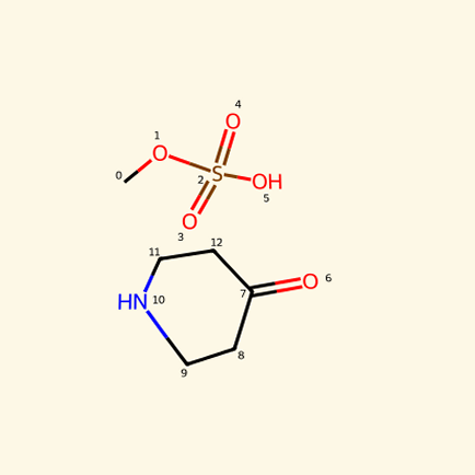 COS(=O)(=O)O.O=C1CCNCC1